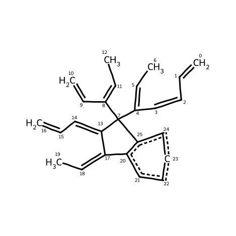 C=C/C=C\C(=C/C)C1(/C(C=C)=C/C)C(=C/C=C)/C(=C\C)c2ccccc21